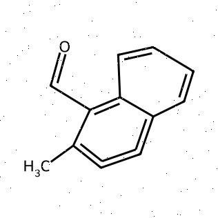 CC1=C=C=c2ccccc2=C1C=O